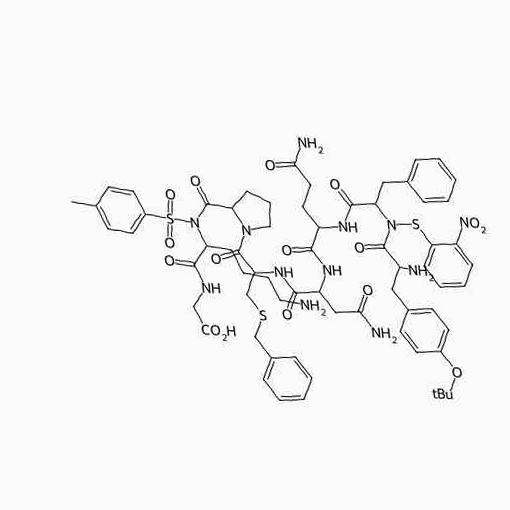 Cc1ccc(S(=O)(=O)N(C(=O)C2CCCN2C(=O)C(CSCc2ccccc2)NC(=O)C(CC(N)=O)NC(=O)C(CCC(N)=O)NC(=O)C(Cc2ccccc2)N(Sc2ccccc2[N+](=O)[O-])C(=O)C(N)Cc2ccc(OC(C)(C)C)cc2)C(CCCCN)C(=O)NCC(=O)O)cc1